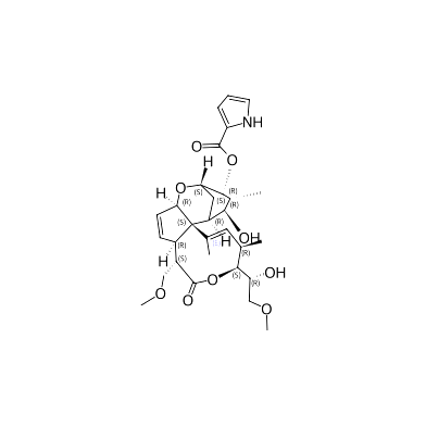 COC[C@@H](O)[C@H]1OC(=O)[C@H](COC)[C@H]2C=C[C@H]3O[C@H]4C[C@@H]([C@H](O)[C@@H](C)[C@H]4OC(=O)c4ccc[nH]4)[C@]23/C(C)=C/[C@H]1C